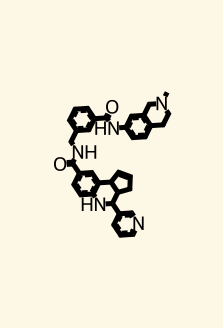 CN1CCc2ccc(NC(=O)c3cccc(CNC(=O)c4ccc5c(c4)C4C=CCC4C(c4cccnc4)N5)c3)cc2C1